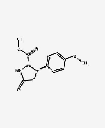 COC(=O)[C@H]1NC(=O)O[C@@H]1c1ccc(OC)cc1